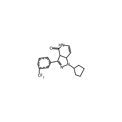 O=C1NC=CC2C1C(c1cccc(C(F)(F)F)c1)=NN2C1CCCC1